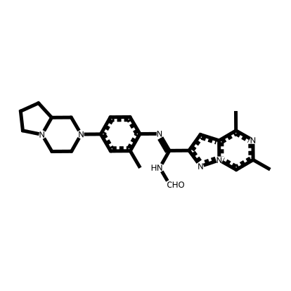 Cc1cn2nc(/C(=N/c3ccc(N4CCN5CCCC5C4)cc3C)NC=O)cc2c(C)n1